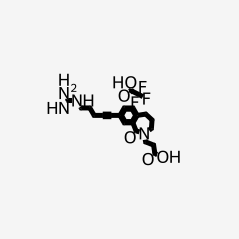 N=C(N)NCCCC#Cc1ccc2c(c1)C(=O)N(CCC(=O)O)CCC2.O=C(O)C(F)(F)F